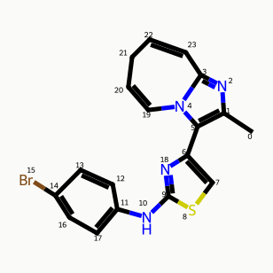 Cc1nc2n(c1-c1csc(Nc3ccc(Br)cc3)n1)C=CCC=C2